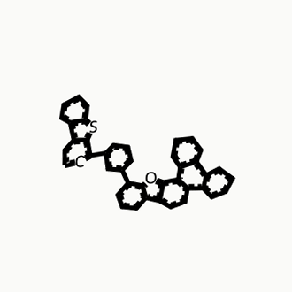 c1cc(-c2cccc3c2oc2c3ccc3c4ccccc4c4ccccc4c32)cc(-c2cccc3c2sc2ccccc23)c1